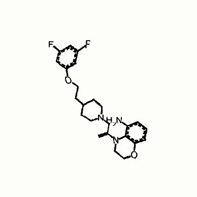 C=C(CN1CCC(CCOc2cc(F)cc(F)c2)CC1)N1CCOc2cccc(N)c21